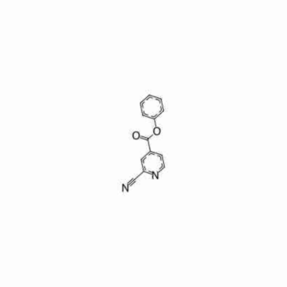 N#Cc1cc(C(=O)Oc2ccccc2)ccn1